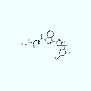 O=C(CNC(=O)c1ccc(C2=NOC3(C2)c2cc(C(F)(F)F)cc(Cl)c2C3(F)F)c2ccccc12)NCC(F)(F)F